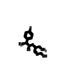 CCN(SC(/C=N\CO)CN)C(c1ccc(F)cc1)C(F)(F)F